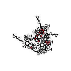 COCCOCCO[C@@H]1[C@@H](OC)[C@H](OCCOCCOC)[C@@H](OP(=O)(O)O)[C@@H](OCCC(CCOC2[C@@H](OC)[C@H](OP(=O)(O)O)[C@@H](OP(=O)(O)O)[C@H](OP(=O)(O)O)[C@H]2OC)(CCO[C@H]2[C@@H](OC)[C@H](OCCOCCOC)[C@@H](OP(=O)(O)O)[C@H](OCCOCCOC)[C@H]2OC)CCO[C@H]2[C@@H](OC)[C@H](OP(=O)(O)O)[C@@H](OP(=O)(O)O)[C@H](OP(=O)(O)O)[C@H]2OP(=O)(O)O)[C@H]1OP(=O)(O)O